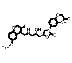 COc1ccc2ncc(F)c(CNC[C@@H](O)C[C@H]3CN(c4ccc5c(c4)NC(=O)CO5)C(=O)O3)c2c1